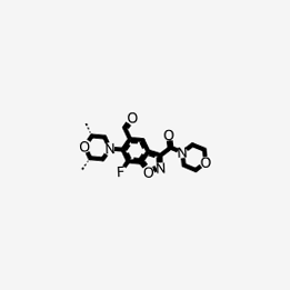 C[C@@H]1CN(c2c(C=O)cc3c(C(=O)N4CCOCC4)noc3c2F)C[C@H](C)O1